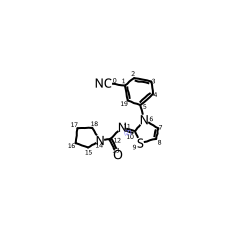 N#Cc1cccc(-n2ccs/c2=N\C(=O)N2CCCC2)c1